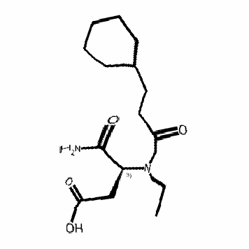 CCN(C(=O)CCC1CCCCC1)[C@@H](CC(=O)O)C(N)=O